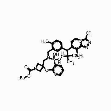 Cc1ccc(C(c2ccn3c(C(F)(F)F)nnc3c2C)C(C)(C)C(=O)O)cc1CN1CC2(CN(C(=O)OC(C)(C)C)C2)Oc2ncccc2S1(O)O